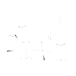 C=CCN1C(=O)[C@]2(CCN3C[C@@H](CC)[C@@H](/C(=C\C)C(=O)OC)C[C@H]32)c2ccccc21